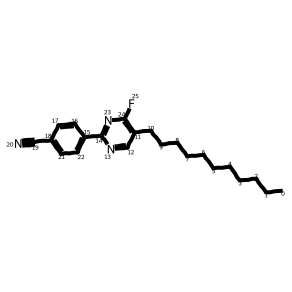 CCCCCCCCCCCc1cnc(-c2ccc(C#N)cc2)nc1F